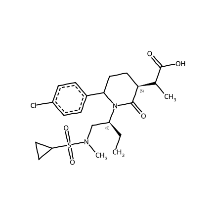 CC[C@@H](CN(C)S(=O)(=O)C1CC1)N1C(=O)[C@H](C(C)C(=O)O)CCC1c1ccc(Cl)cc1